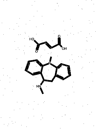 CNC1Cc2ccccc2N(C)c2ccccc21.O=C(O)/C=C/C(=O)O